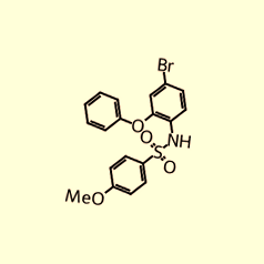 COc1ccc(S(=O)(=O)Nc2ccc(Br)cc2Oc2ccccc2)cc1